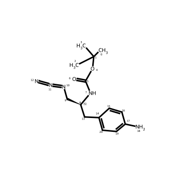 CC(C)(C)OC(=O)N[C@H](CN=[N+]=[N-])Cc1ccc(N)cc1